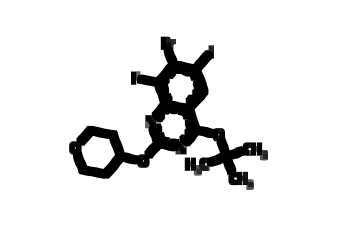 CC(C)(C)Oc1nc(OC2CCOCC2)nc2c(F)c(Br)c(I)cc12